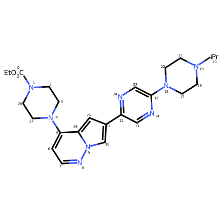 CCOC(=O)N1CCN(c2ccnn3cc(-c4cnc(N5CCN(C(C)C)CC5)cn4)cc23)CC1